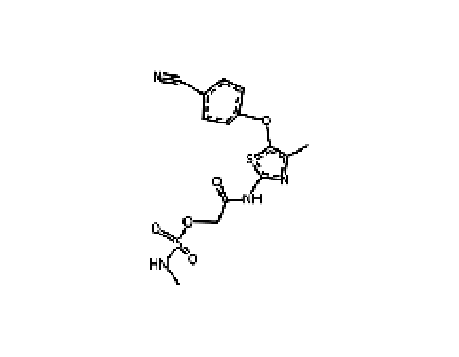 CNS(=O)(=O)OCC(=O)Nc1nc(C)c(Oc2ccc(C#N)cc2)s1